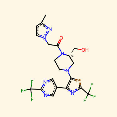 Cc1ccn(CC(=O)N2CCN(c3sc(C(F)(F)F)nc3-c3cnc(C(F)(F)F)nc3)C[C@H]2CO)n1